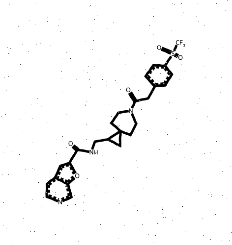 O=C(NCC1CC12CCN(C(=O)Cc1ccc(S(=O)(=O)C(F)(F)F)cc1)CC2)c1cc2ccncc2o1